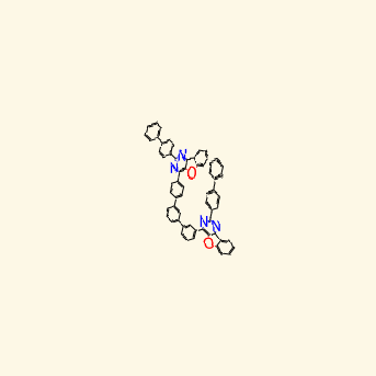 c1ccc(-c2ccc(-c3nc(-c4ccc(-c5cccc(-c6cccc(-c7nc(-c8ccc(-c9ccccc9)cc8)nc8c7oc7ccccc78)c6)c5)cc4)c4oc5ccccc5c4n3)cc2)cc1